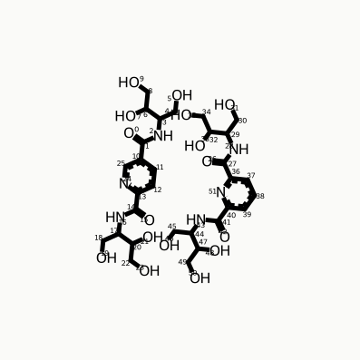 O=C(NC(CO)C(O)CO)c1ccc(C(=O)NC(CO)C(O)CO)nc1.O=C(NC(CO)C(O)CO)c1cccc(C(=O)NC(CO)C(O)CO)n1